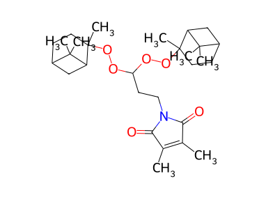 CC1=C(C)C(=O)N(CCC(OOC2(C)CCC3CC2C3(C)C)OOC2(C)CCC3CC2C3(C)C)C1=O